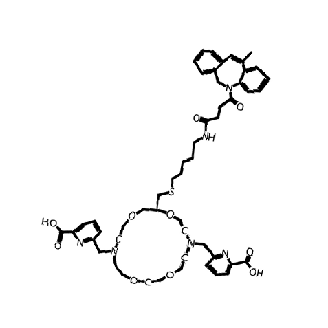 C/C1=C/c2ccccc2CN(C(=O)CCC(=O)NCCCCCSC[C@@H]2COCCN(Cc3cccc(C(=O)O)n3)CCOCCOCCN(Cc3cccc(C(=O)O)n3)CCO2)c2ccccc21